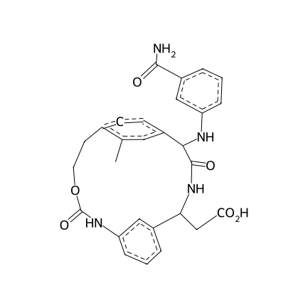 Cc1cc2ccc1CCOC(=O)Nc1cccc(c1)C(CC(=O)O)NC(=O)C2Nc1cccc(C(N)=O)c1